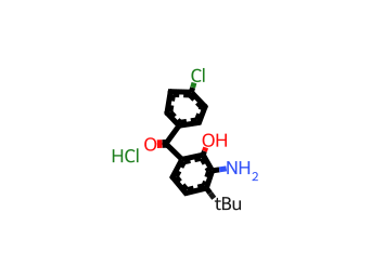 CC(C)(C)c1ccc(C(=O)c2ccc(Cl)cc2)c(O)c1N.Cl